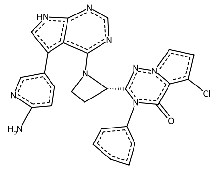 Nc1ccc(-c2c[nH]c3ncnc(N4CC[C@H]4c4nn5ccc(Cl)c5c(=O)n4-c4ccccc4)c23)cn1